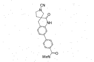 CNC(=O)c1ccc(-c2ccc3c(c2)NC(=O)C2(CCN(C#N)C2)C3)cc1